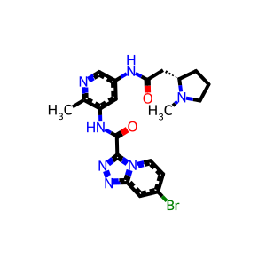 Cc1ncc(NC(=O)C[C@@H]2CCCN2C)cc1NC(=O)c1nnc2cc(Br)ccn12